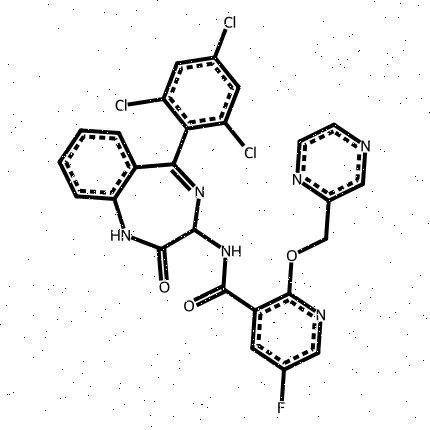 O=C(NC1N=C(c2c(Cl)cc(Cl)cc2Cl)c2ccccc2NC1=O)c1cc(F)cnc1OCc1cnccn1